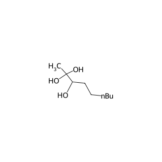 CCCCCCC(O)C(C)(O)O